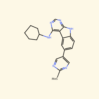 CSc1ncc(-c2ccc3[nH]c4ncnc(NC5CCCCC5)c4c3c2)cn1